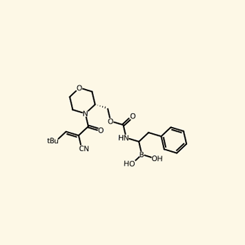 CC(C)(C)C=C(C#N)C(=O)N1CCOC[C@@H]1COC(=O)NC(Cc1ccccc1)B(O)O